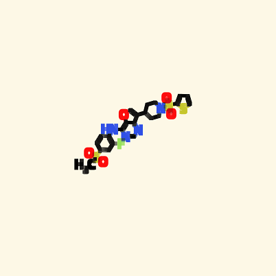 CS(=O)(=O)c1ccc(Nc2ncnc3c(C4CCN(S(=O)(=O)c5cccs5)CC4)coc23)c(F)c1